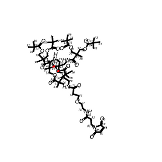 CC(C)(C)C(=O)OCC(C)(COC(=O)C(C)(C)C)C(=O)NCC(CNC(=O)C(C)(COC(=O)C(C)(C)C)COC(=O)C(C)(C)C)(CNC(=O)C(C)(COC(=O)C(C)(C)C)COC(=O)C(C)(C)C)COCCNC(=O)CCOCCNC(=O)CCN1C(=O)C=CC1=O